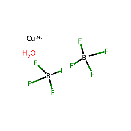 F[B-](F)(F)F.F[B-](F)(F)F.O.[Cu+2]